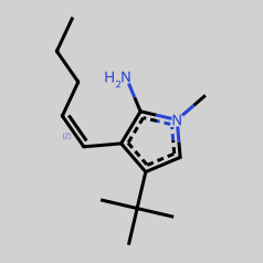 CCC/C=C\c1c(C(C)(C)C)cn(C)c1N